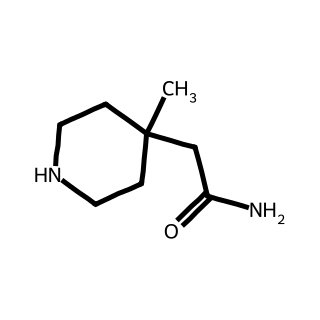 CC1(CC(N)=O)CCNCC1